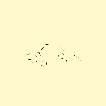 CC(=N)N1C(=N)[C@H](C)N=C(c2ccc(Cl)cc2)c2c1sc(C#Cc1cnn(CC3CCC(Nc4cccc5c4CN(C4CCC(=O)NC4=O)C5=O)CC3)c1)c2C